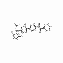 CC(C)C[C@H](NC(=O)c1ccc(NC(=O)N2CCCCC2)cc1)C(=O)N[C@@H]1C(=O)CO[C@@H]1C